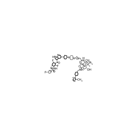 Cc1ncsc1-c1ccc(CNC(=O)[C@@H]2C[C@@H](O)CN2C(=O)[C@@H](NC(=O)CN2CC(N3CCN(c4ccc(-c5cnc6[nH]cc(C(=O)c7c(F)ccc(NS(=O)(=O)N8CC[C@@H](F)C8)c7F)c6c5)cc4)CC3)C2)C(C)(C)C)cc1